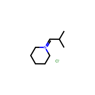 CC(C)C=[N+]1CCCCC1.[Cl-]